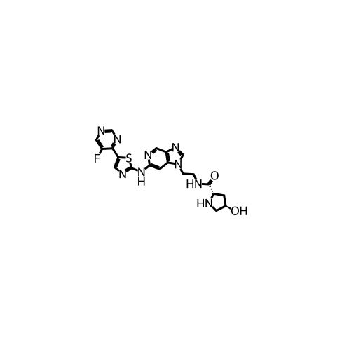 O=C(NCCn1cnc2cnc(Nc3ncc(-c4ncncc4F)s3)cc21)[C@@H]1C[C@@H](O)CN1